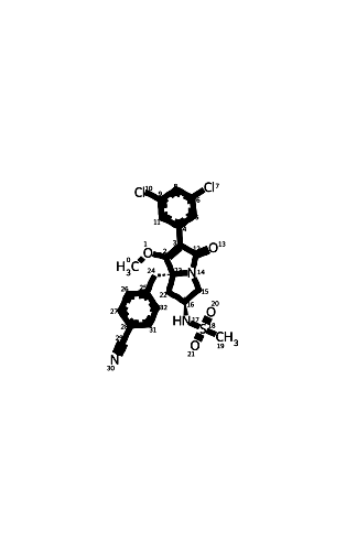 COC1=C(c2cc(Cl)cc(Cl)c2)C(=O)N2C[C@@H](NS(C)(=O)=O)C[C@@]12Cc1ccc(C#N)cc1